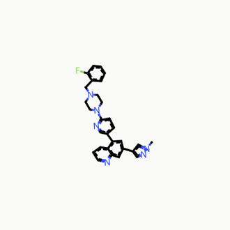 Cn1cc(-c2cc(-c3ccc(N4CCN(Cc5ccccc5F)CC4)nc3)c3cccnc3c2)cn1